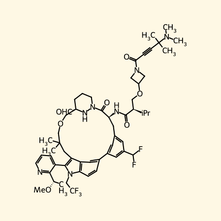 CO[C@@H](C)c1ncccc1-c1c2c3cc(ccc3n1CC(F)(F)F)-c1cc(cc(C(F)F)c1)C[C@H](NC(=O)[C@@H](COC1CN(C(=O)C#CC(C)(C)N(C)C)C1)C(C)C)C(=O)N1CCC[C@](C=O)(COCC(C)(C)C2)N1